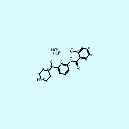 CN(c1cccc(NC(=O)c2ccccc2Cl)n1)C1CCNCC1.Cl.Cl